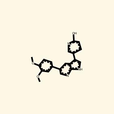 COc1ccc(-c2cnc3[nH]cc(-c4ccc(O)nc4)c3c2)cc1OC